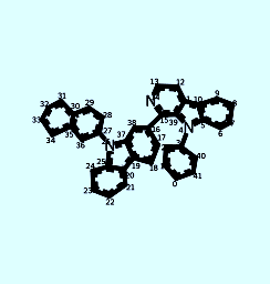 c1ccc(-n2c3ccccc3c3ccnc(-c4ccc5c6ccccc6n(-c6ccc7ccccc7c6)c5c4)c32)cc1